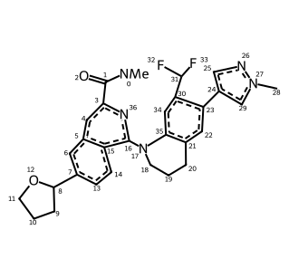 CNC(=O)c1cc2cc(C3CCCO3)ccc2c(N2CCCc3cc(-c4cnn(C)c4)c(C(F)F)cc32)n1